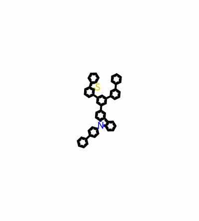 c1ccc(-c2ccc(-n3c4ccccc4c4cc(-c5cc(-c6cccc(-c7ccccc7)c6)cc(-c6cccc7c6sc6ccccc67)c5)ccc43)cc2)cc1